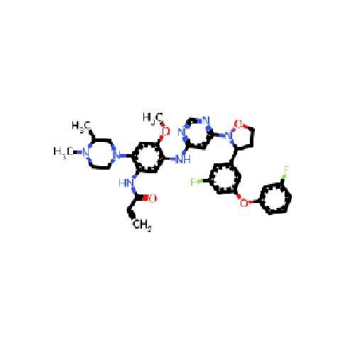 C=CC(=O)Nc1cc(Nc2cc(N3OCCC3c3cc(F)cc(Oc4cccc(F)c4)c3)ncn2)c(OC)cc1N1CCN(C)C(C)C1